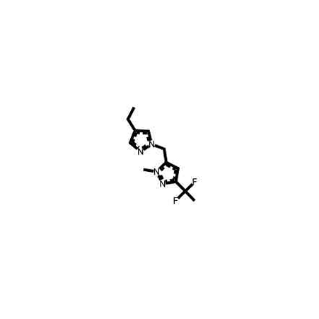 CCc1cnn(Cc2cc(C(C)(F)F)nn2C)c1